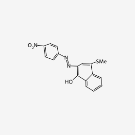 CSc1cc(N=Nc2ccc([N+](=O)[O-])cc2)c(O)c2ccccc12